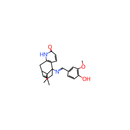 C/C=C1\C2C=C(C)CC1(N=Cc1ccc(O)c(OC)c1)c1ccc(=O)[nH]c1C2